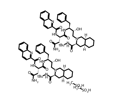 CC(C)(C)NC(=O)[C@@H]1C[C@@H]2CCCC[C@@H]2CN1C[C@@H](O)[C@H](Cc1ccccc1)NC(=O)[C@H](CC(N)=O)NC(=O)c1ccc2ccccc2n1.CC(C)(C)NC(=O)[C@@H]1C[C@@H]2CCCC[C@@H]2CN1C[C@@H](O)[C@H](Cc1ccccc1)NC(=O)[C@H](CC(N)=O)NC(=O)c1ccc2ccccc2n1.CS(=O)(=O)O.CS(=O)(=O)O